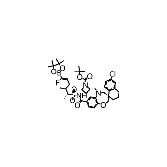 C[C@H]([C@@H](C)C/C=C(\F)B1OC(C)(C)C(C)(C)O1)S(=O)(=O)NC(=O)c1ccc2c(c1)N(C[C@@H]1CCN1C(=O)OC(C)(C)C)C[C@@]1(CCCc3cc(Cl)ccc31)CO2